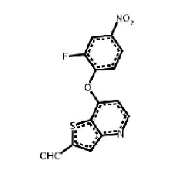 O=Cc1cc2nccc(Oc3ccc([N+](=O)[O-])cc3F)c2s1